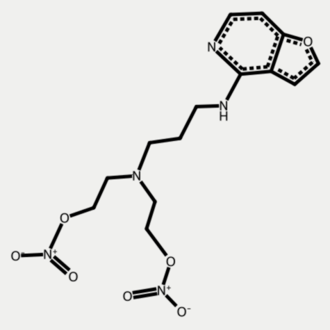 O=[N+]([O-])OCCN(CCCNc1nccc2occc12)CCO[N+](=O)[O-]